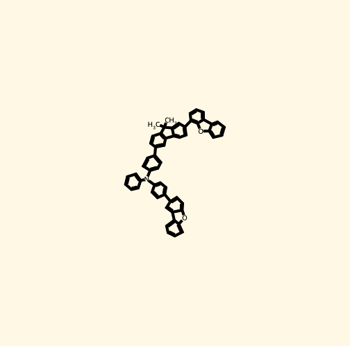 CC1(C)c2ccc(-c3ccc(N(c4ccccc4)c4ccc(-c5ccc6oc7ccccc7c6c5)cc4)cc3)cc2-c2ccc(-c3cccc4c3oc3ccccc34)cc21